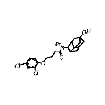 CC(C)N(C(=O)CCCOc1ccc(Cl)cc1Cl)C1C2CC3CC1CC(O)(C3)C2